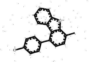 Cc1ccc(-c2ccc(Cl)cc2)c2c1oc1ccccc12